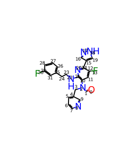 O=CN(Cc1cccnc1)c1cc(F)c(-c2cn[nH]c2)nc1NCCc1cccc(F)c1